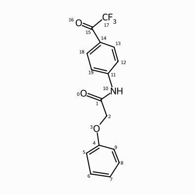 O=C(COc1ccccc1)Nc1ccc(C(=O)C(F)(F)F)cc1